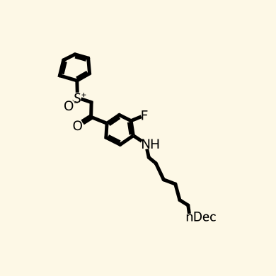 CCCCCCCCCCCCCCCCNc1ccc(C(=O)C[S+]([O-])c2ccccc2)cc1F